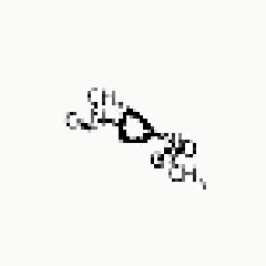 CN([C]=O)c1ccc(NS(C)(=O)=O)cc1